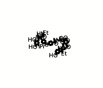 CCNC(=O)c1nnc(-c2cc(C(C)C)c(O)cc2O)n1-c1ccc(Oc2ccc(C(=O)N(C)CCC(=O)OC3(CC)C(=O)OCc4c3cc3n(c4=O)Cc4c-3nc3ccc(O)cc3c4CC)cc2)cc1